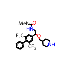 CNC(=O)NCC(OCC1CCNCC1)c1cc(C(F)(F)F)c(-c2ccccc2)c(C(F)(F)F)c1